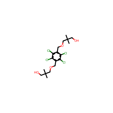 CC(C)(CO)COCc1c(Cl)c(Cl)c(COCC(C)(C)CO)c(Cl)c1Cl